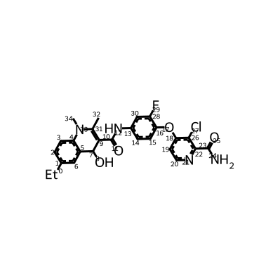 CCc1ccc2c(c1)C(O)C(C(=O)Nc1ccc(Oc3ccnc(C(N)=O)c3Cl)c(F)c1)=C(C)N2C